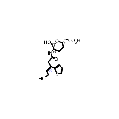 O=C(O)C[C@@H]1CC[C@H](NC(=O)C/C(=C/CO)c2cccs2)B(O)O1